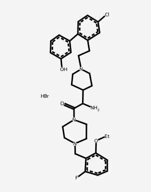 Br.CCOc1cccc(F)c1CN1CCN(C(=O)C(N)C2CCN(CCc3cc(Cl)ccc3-c3cccc(O)c3)CC2)CC1